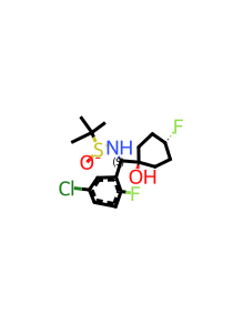 CC(C)(C)[S+]([O-])N[C@@H](c1cc(Cl)ccc1F)[C@]1(O)CC[C@H](F)CC1